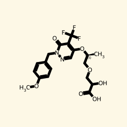 COc1ccc(Cn2ncc(O[C@@H](C)COCC(O)C(=O)O)c(C(F)(F)F)c2=O)cc1